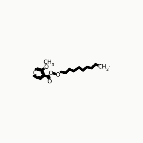 [CH2]CCCCCCCCCOOC(=O)c1ccccc1OC